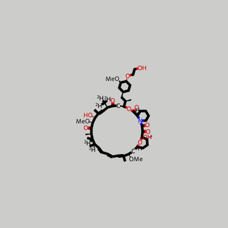 [2H]C([2H])([2H])[C@@H]1/C=C(\C)[C@@H](O)[C@@H](OC)C(=O)[C@H](C)C([2H])(C)[C@]([2H])(C)/C=C/C=C/C=C(\C)[C@@H](OC)C[C@@H]2CC[C@@H](C)[C@@](O)(O2)C(=O)C(=O)N2CCCC[C@H]2C(=O)O[C@H]([C@H](C)C[C@@H]2CC[C@@H](OCCO)[C@H](OC)C2)CC1=O